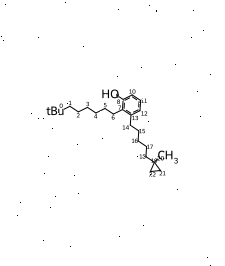 CC(C)(C)CCCCCCc1c(O)cccc1CCCCCC1(C)CC1